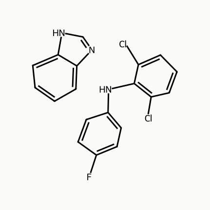 Fc1ccc(Nc2c(Cl)cccc2Cl)cc1.c1ccc2[nH]cnc2c1